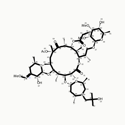 CO/N=C1\C[C@@H](C)O[C@@H](O[C@@H]2[C@@H](C)[C@H](O[C@H]3C[C@@H](C)N(CC(C)(C)O)C[C@H](C)O3)[C@@H](C)C(=O)O[C@H]([C@@H](C)CO[C@@H]3O[C@H](C)[C@@H](O)[C@@H](OC)[C@H]3OC)[C@H](C)[C@@H](OC(=O)CC(C)C)[C@@H](C)C(=O)[C@@](C)(OC(C)=O)C[C@@H]2C)[C@@H]1O